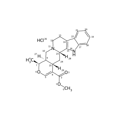 COC(=O)C1=CO[C@@H](C)[C@H]2CN3CCc4c([nH]c5ccccc45)[C@@H]3C[C@H]12.Cl